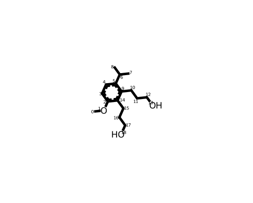 COc1ccc(C(C)C)c(CCCO)c1CCCO